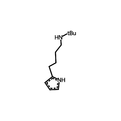 CC(C)(C)NCCCCc1ccc[nH]1